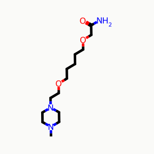 CN1CCN(CCOCCCCCOCC(N)=O)CC1